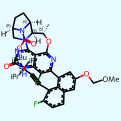 COCOc1cc(-c2nc3c4c(nc(=O)[nH]c4c2F)N2C[C@H]4CC[C@@H]([C@H]2[C@H](C)O3)N4C(=O)OC(C)(C)C)c2c(C#C[Si](C(C)C)(C(C)C)C(C)C)c(F)ccc2c1